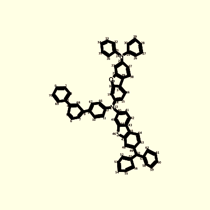 c1ccc(-c2cccc(-c3ccc(N(c4ccc5c(c4)oc4cc(N(c6ccccc6)c6ccccc6)ccc45)c4ccc5c(c4)sc4cc(C(c6ccccc6)c6ccccc6)ccc45)cc3)c2)cc1